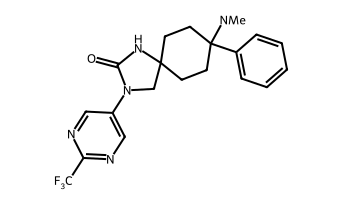 CNC1(c2ccccc2)CCC2(CC1)CN(c1cnc(C(F)(F)F)nc1)C(=O)N2